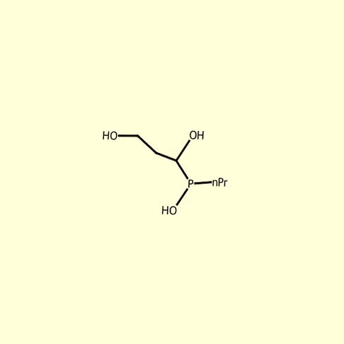 CCCP(O)C(O)CCO